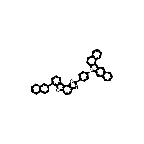 c1ccc2cc(-c3cccc4c3oc3ccc5nc(-c6ccc(-n7c8cc9ccccc9cc8c8c9ccccc9ccc87)cc6)oc5c34)ccc2c1